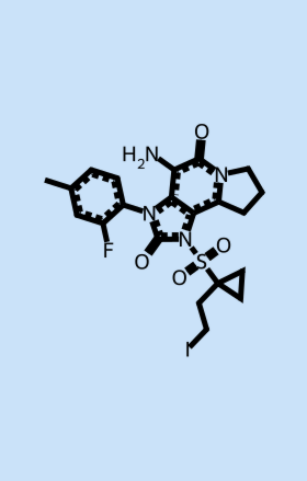 Cc1ccc(-n2c(=O)n(S(=O)(=O)C3(CCI)CC3)c3c4n(c(=O)c(N)c32)CCC4)c(F)c1